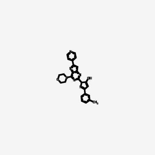 Cc1cccc(C2=NC(c3nc(N4CCOCC4)c4sc(-c5ccncc5)cc4n3)C(O)=C2)c1